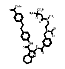 CCC(CC)N(CCN(C)C(=O)CC(C)(C)C(=O)O)Cc1cccc(C(=O)Nc2sc3c(c2C(=O)Nc2ccc(CCc4ccc(C(=O)OC)cc4)cc2)CCCC3)c1